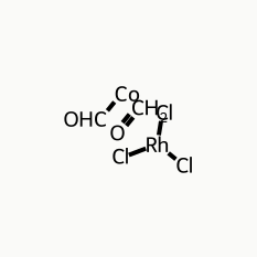 C=O.O=[CH][Co].[Cl][Rh]([Cl])[Cl]